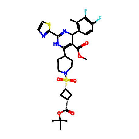 COC(=O)C1=C(C2CCN(S(=O)(=O)[C@H]3C[C@@H](C(=O)OC(C)(C)C)C3)CC2)NC(c2nccs2)=NC1c1ccc(F)c(F)c1C